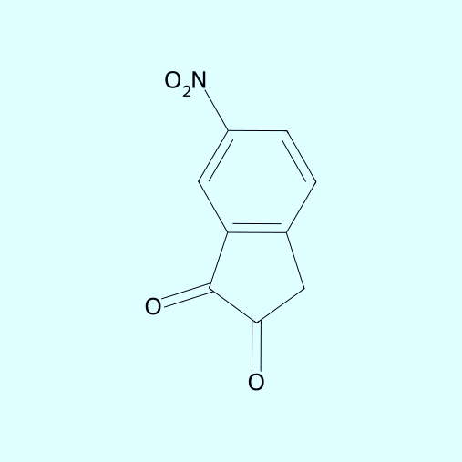 O=C1Cc2ccc([N+](=O)[O-])cc2C1=O